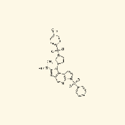 Cc1ccc(S(=O)(=O)N2CCC(n3c([C@@H](C)O)nc4cnc5c(ccn5S(=O)(=O)c5ccccc5)c43)C2)cc1